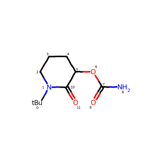 CC(C)(C)N1CCCC(OC(N)=O)C1=O